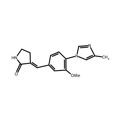 COc1cc(/C=C2\CCNC2=O)ccc1-n1cnc(C)c1